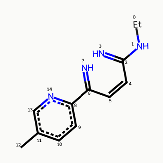 CCNC(=N)/C=C\C(=N)c1ccc(C)cn1